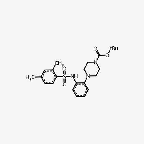 Cc1ccc(S(=O)(=O)Nc2ccccc2N2CCN(C(=O)OC(C)(C)C)CC2)c(C)c1